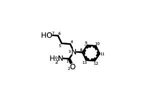 NC(=O)N(CCCO)c1[c]cccc1